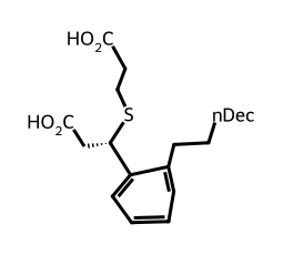 CCCCCCCCCCCCc1ccccc1[C@H](CC(=O)O)SCCC(=O)O